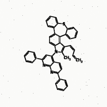 C=C/C=C\c1c(C)n(-c2cc(-c3ccccc3)nc3nc(-c4ccccc4)ccc23)c2ccc3c(c12)-c1ccccc1Sc1ccccc1-3